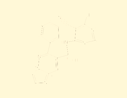 C[C@@H](Nc1ncnc(Cl)c1C#N)c1cc2nccn2nc1-c1ccccc1